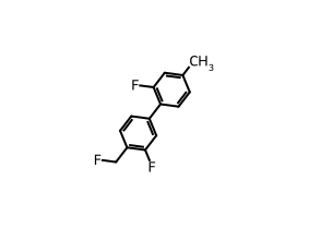 Cc1ccc(-c2ccc(CF)c(F)c2)c(F)c1